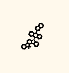 CC1(C)C2=C(C=CC3C2c2ccccc2N3c2c3ccccc3c(-c3ccc4ccccc4c3)c3ccccc23)c2ccccc21